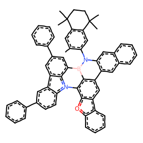 Cc1cc2c(cc1N1B3c4c(cc5c(oc6ccccc65)c4-n4c5ccc(-c6ccccc6)cc5c5cc(-c6ccccc6)cc3c54)-c3cc4ccccc4cc31)C(C)(C)CCC2(C)C